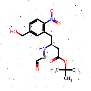 CC(C)(C)OC(=O)C[C@H](Cc1cc(CO)ccc1[N+](=O)[O-])NBC=O